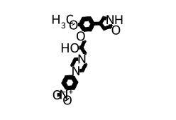 COc1ccc(C2CNC(=O)C2)cc1OCC(O)CN1CCN(c2ccc([N+](=O)[O-])cc2)CC1